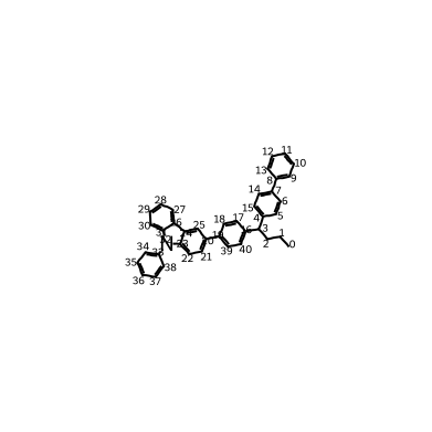 CCCC(c1ccc(-c2ccccc2)cc1)c1ccc(-c2ccc3c(c2)c2ccccc2n3-c2ccccc2)cc1